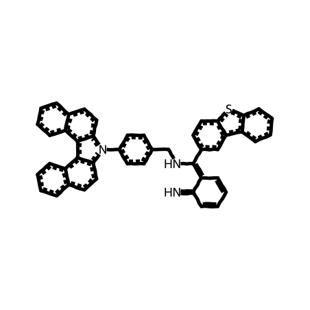 N=C1C=CC=C/C1=C(/NCc1ccc(-n2c3ccc4ccccc4c3c3c4ccccc4ccc32)cc1)c1ccc2sc3ccccc3c2c1